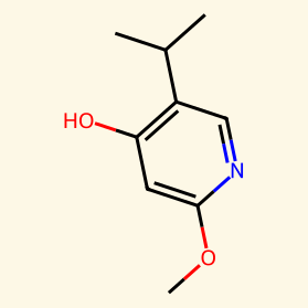 COc1cc(O)c(C(C)C)cn1